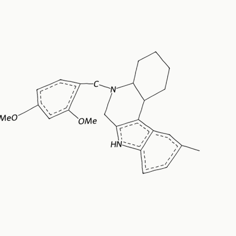 COc1ccc(CN2Cc3[nH]c4ccc(C)cc4c3C3CCCCC32)c(OC)c1